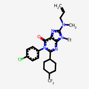 C=CCN(C)c1nc2c(=O)n(-c3ccc(Cl)cc3)c(C3CCC(C(F)(F)F)CC3)nc2n1CC